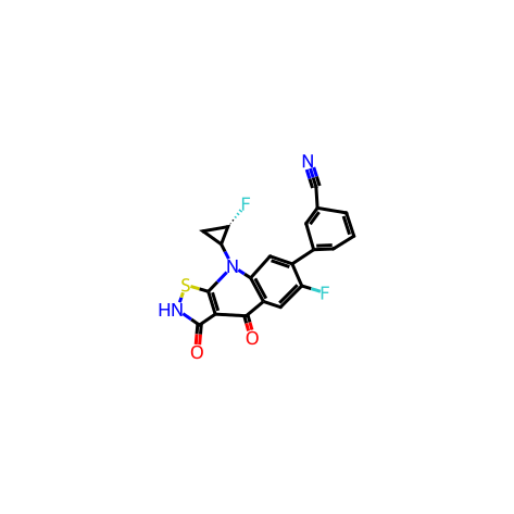 N#Cc1cccc(-c2cc3c(cc2F)c(=O)c2c(=O)[nH]sc2n3C2C[C@@H]2F)c1